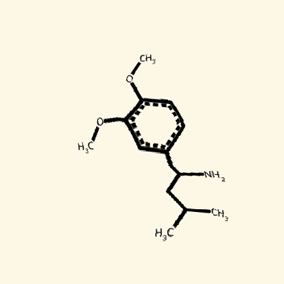 COc1ccc(C(N)CC(C)C)cc1OC